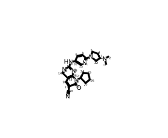 CN(C)[C@H]1CCN(c2ccc(Nc3ncc4cc(C#N)c(=O)n(C5CCCC5)c4n3)cn2)C1